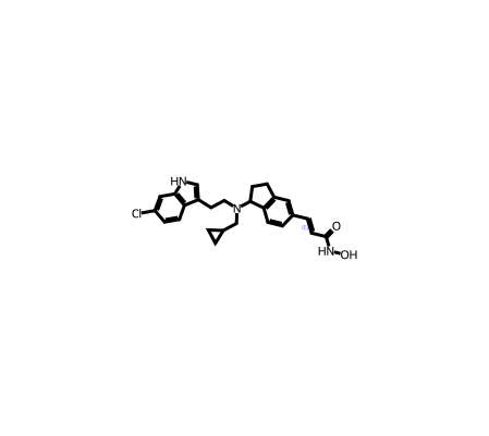 O=C(/C=C/c1ccc2c(c1)CCC2N(CCc1c[nH]c2cc(Cl)ccc12)CC1CC1)NO